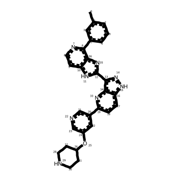 Cc1cccc(-c2nccc3[nH]c(-c4n[nH]c5ccc(-c6cncc(OC7CCNCC7)c6)nc45)nc23)c1